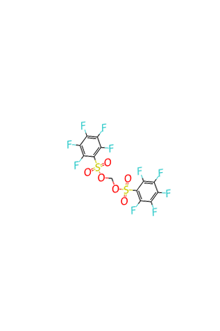 O=S(=O)(OCOS(=O)(=O)c1c(F)c(F)c(F)c(F)c1F)c1c(F)c(F)c(F)c(F)c1F